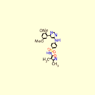 COc1ccc(OC)c(-c2cc(Nc3ccc(S(=O)(=O)Nc4onc(C)c4C)cc3)ncn2)c1